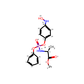 CC(C)OC(=O)[C@H](C)NP(=O)(Oc1ccccc1)Oc1ccc(NO)cc1